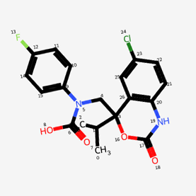 CC(C)C1(CN(C(=O)O)c2ccc(F)cc2)OC(=O)Nc2ccc(Cl)cc21